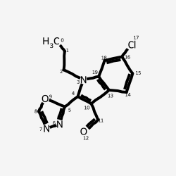 CCCn1c(-c2nnco2)c(C=O)c2ccc(Cl)cc21